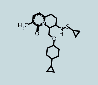 Cc1ccc2n(c1=O)C(COC1CCC(C3CC3)CC1)C(NSC1CC1)CC2